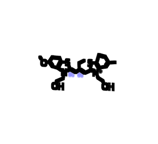 CCC(/C=C1\Sc2ccc(OC)cc2N1CCO)=C\c1sc2ccc(C)cc2[n+]1CCO